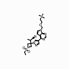 CCS(=O)(=O)N1CC(C(C)C#N)(n2cc(-c3ncnc4c3ccn4COCC[Si](C)(C)C)cn2)C1